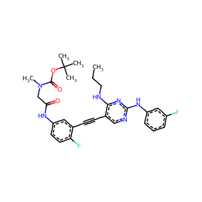 CCCNc1nc(Nc2cccc(F)c2)ncc1C#Cc1cc(NC(=O)CN(C)C(=O)OC(C)(C)C)ccc1F